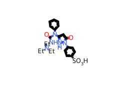 CCN(CC)CC.NC(=O)N(c1ccccc1)c1cc(=O)n(-c2ccc(S(=O)(=O)O)cc2)[nH]1